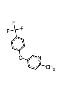 Cc1ccc(Oc2ccc(C(F)(F)F)cc2)cn1